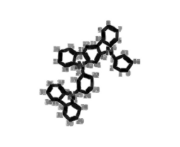 c1ccc(-n2c3ccccc3c3cc4c5ccccc5n(-c5cccc(-n6c7ccccc7c7ccccc76)c5)c4cc32)cc1